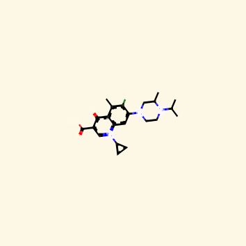 Cc1c(F)c(N2CCN(C(C)C)C(C)C2)cc2c1c(=O)c(C(=O)O)cn2C1CC1